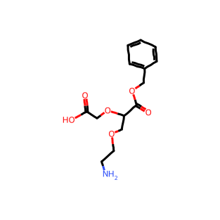 NCCOCC(OCC(=O)O)C(=O)OCc1ccccc1